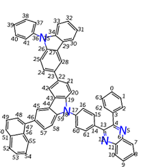 c1ccc(-c2nc3ccccc3nc2-c2ccc(-n3c4ccc(-c5ccc6c(c5)c5ccccc5n6-c5ccccc5)cc4c4cc(-c5cccc6ccccc56)ccc43)cc2)cc1